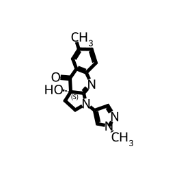 Cc1ccc2c(c1)C(=O)[C@]1(O)CCN(c3cnn(C)c3)C1=N2